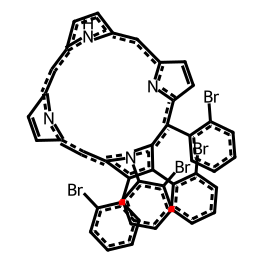 Brc1ccccc1-c1c(-c2ccccc2Br)c2c(-c3ccccc3Br)c3nc(cc4ccc(cc5nc(cc1n2-c1ccccc1Br)C=C5)[nH]4)C=C3